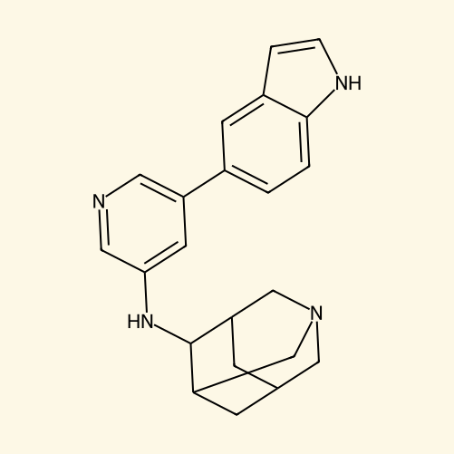 c1cc2cc(-c3cncc(NC4C5CC6CC4CN(C6)C5)c3)ccc2[nH]1